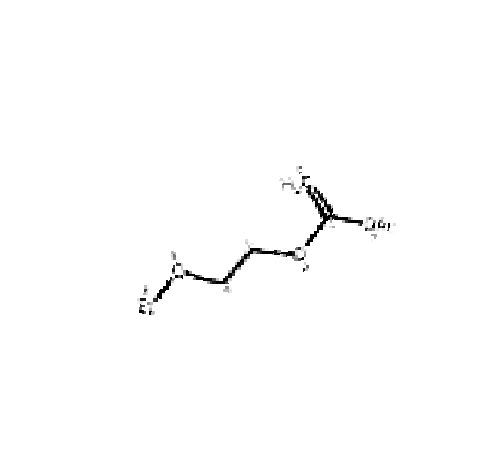 C=C(OCCOCC)OC(C)=O